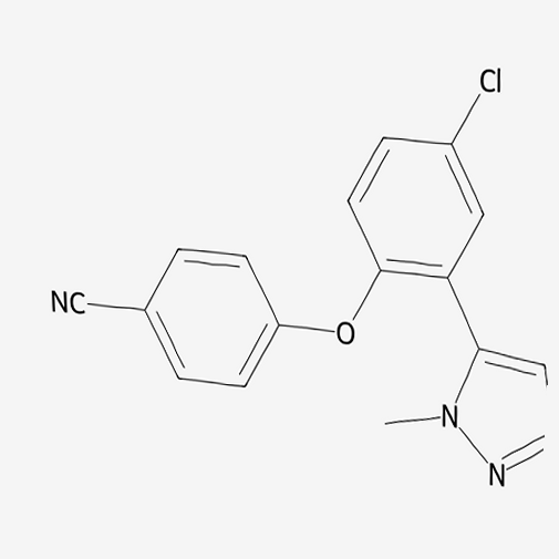 Cn1nccc1-c1cc(Cl)ccc1Oc1ccc(C#N)cc1